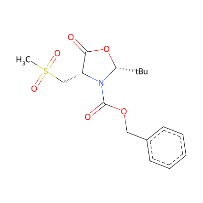 CC(C)(C)[C@H]1OC(=O)[C@@H](CS(C)(=O)=O)N1C(=O)OCc1ccccc1